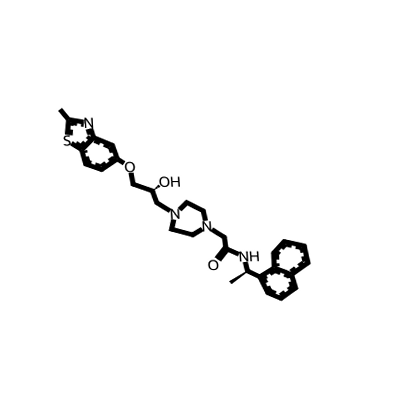 Cc1nc2cc(OC[C@H](O)CN3CCN(CC(=O)N[C@H](C)c4cccc5ccccc45)CC3)ccc2s1